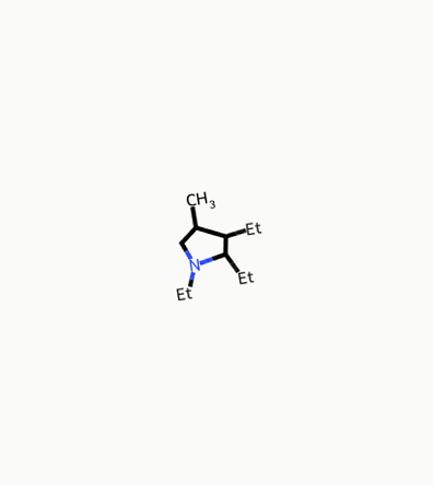 CCC1C(C)CN(CC)C1CC